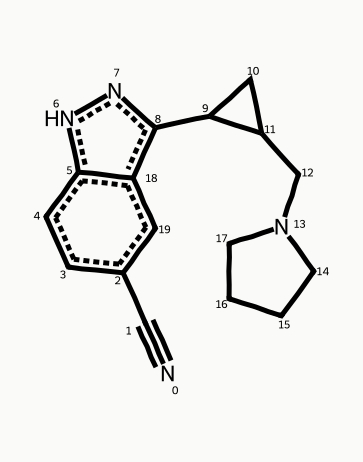 N#Cc1ccc2[nH]nc(C3CC3CN3CCCC3)c2c1